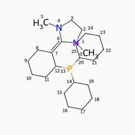 CN1CCN(C)C1=C1CCCCC1P(C1CCCCC1)C1CCCCC1